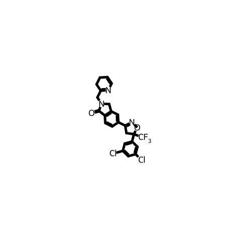 O=C1c2ccc(C3=NOC(c4cc(Cl)cc(Cl)c4)(C(F)(F)F)C3)cc2CN1CC1=NC=CCC1